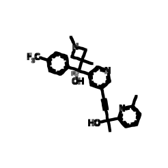 Cc1cccc(C(C)(O)C#Cc2cncc([C@@](O)(c3ccc(C(F)(F)F)cc3)C3(C)CN(C)C3)c2)n1